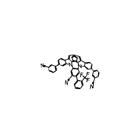 N#Cc1cccc(-c2ccc3c4ccccc4n(-c4cc(C#N)c(-c5ccccc5C(F)(F)F)cc4-n4c5ccccc5c5ccc(-c6cccc(C#N)c6)cc54)c3c2)c1